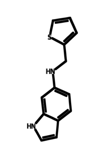 c1csc(CNc2ccc3cc[nH]c3c2)c1